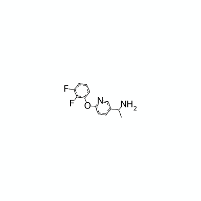 CC(N)c1ccc(Oc2cccc(F)c2F)nc1